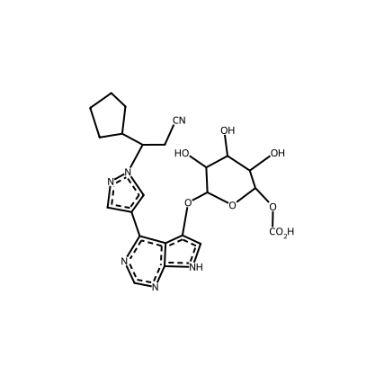 N#CCC(C1CCCC1)n1cc(-c2ncnc3[nH]cc(OC4OC(OC(=O)O)C(O)C(O)C4O)c23)cn1